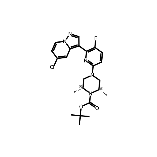 C[C@@H]1CN(c2ccc(F)c(-c3cnn4ccc(Cl)cc34)n2)C[C@H](C)N1C(=O)OC(C)(C)C